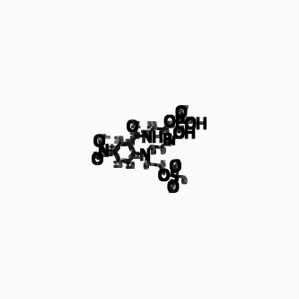 CS(=O)(=O)OCCN(CCBr)c1ccc([N+](=O)[O-])cc1C(=O)NCCOP(=O)(O)O